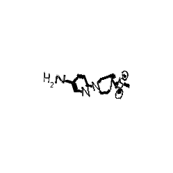 CS(=O)(=O)N1CCN(c2ccc(N)cn2)CC1